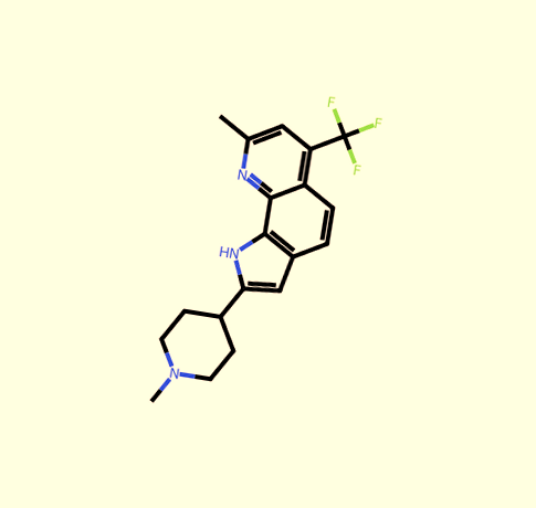 Cc1cc(C(F)(F)F)c2ccc3cc(C4CCN(C)CC4)[nH]c3c2n1